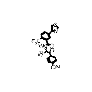 CC(C)C(NC(=O)c1cc(-c2cscn2)ccc1C(F)(F)F)C(=O)c1ccc(C#N)cc1